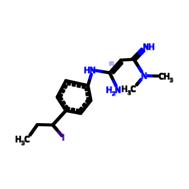 CCC(I)c1ccc(N/C(N)=C/C(=N)N(C)C)cc1